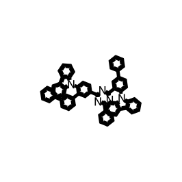 c1ccc(-c2cccc(-c3cc(-c4nc(-c5ccccc5)nc(-c5cc(-c6ccccc6)ccc5-n5c6ccccc6c6ccccc65)n4)ccc3-n3c4ccccc4c4ccccc43)c2)cc1